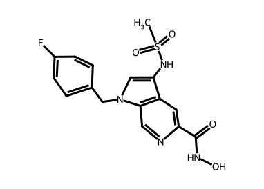 CS(=O)(=O)Nc1cn(Cc2ccc(F)cc2)c2cnc(C(=O)NO)cc12